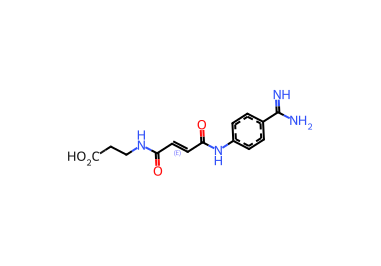 N=C(N)c1ccc(NC(=O)/C=C/C(=O)NCCC(=O)O)cc1